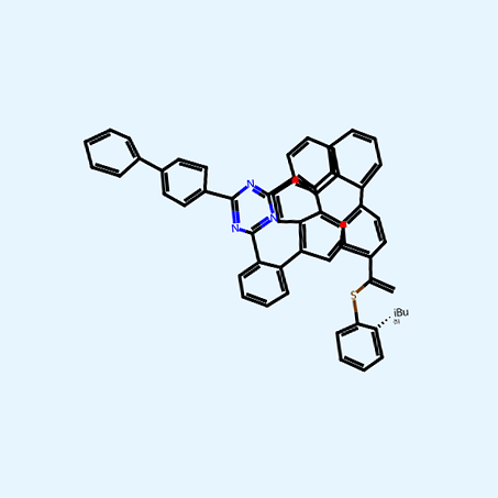 C=C(Sc1ccccc1[C@@H](C)CC)c1ccc(-c2ccccc2-c2cccc3c(-c4ccccc4-c4nc(-c5ccccc5)nc(-c5ccc(-c6ccccc6)cc5)n4)cccc23)cc1